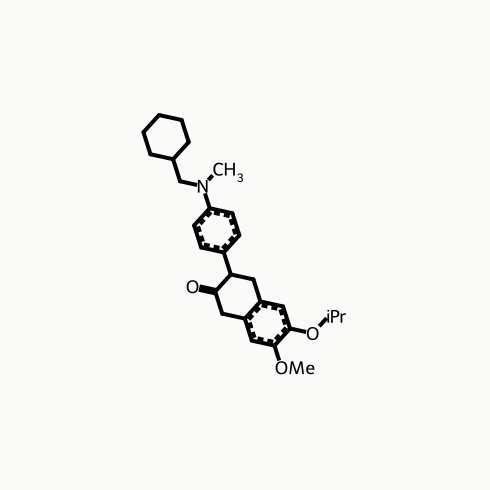 COc1cc2c(cc1OC(C)C)CC(c1ccc(N(C)CC3CCCCC3)cc1)C(=O)C2